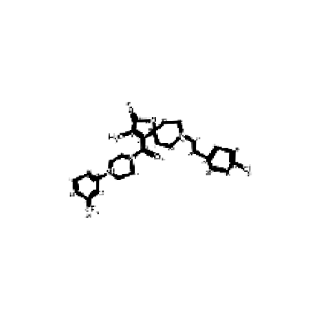 CC1=C(C(=O)N2CCN(c3cccc(C(F)(F)F)c3)CC2)C2(CCN(CCc3ccc(Cl)cc3)CC2)OC1=O